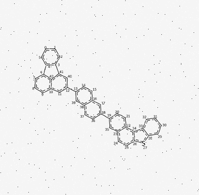 c1ccc2c(c1)-c1cccc3cc(-c4ccc5cc(-c6ccc7c(ccc8sc9ccccc9c87)c6)ccc5c4)cc-2c13